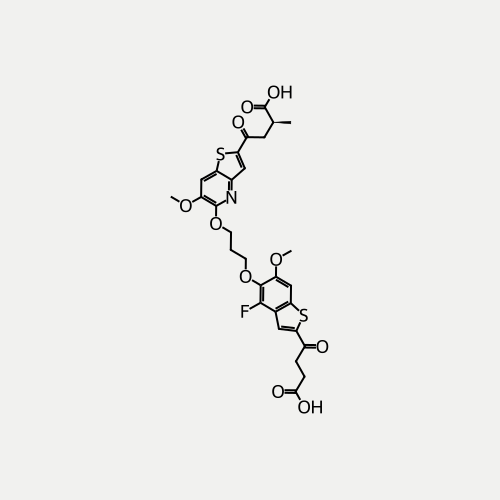 COc1cc2sc(C(=O)C[C@H](C)C(=O)O)cc2nc1OCCCOc1c(OC)cc2sc(C(=O)CCC(=O)O)cc2c1F